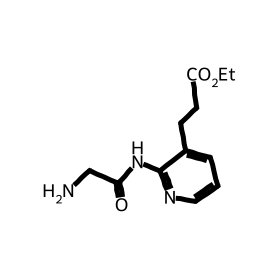 CCOC(=O)CCc1cccnc1NC(=O)CN